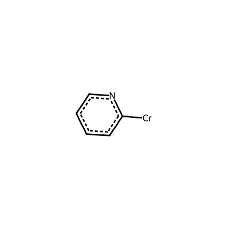 [Cr][c]1ccccn1